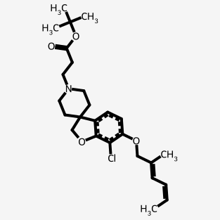 C/C=C\C=C(/C)COc1ccc2c(c1Cl)OCC21CCN(CCC(=O)OC(C)(C)C)CC1